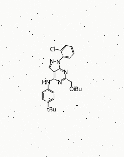 CC(C)COCc1nc(Nc2ccc(C(C)(C)C)cc2)c2cnn(-c3ccccc3Cl)c2n1